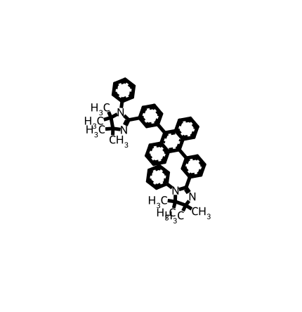 CC1(C)N=C(c2cccc(-c3c4ccccc4c(-c4cccc(C5=NC(C)(C)C(C)(C)N5c5ccccc5)c4)c4ccccc34)c2)N(c2ccccc2)C1(C)C